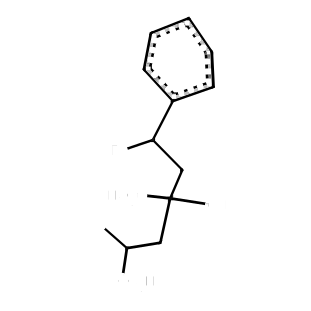 CCC(CC(C)(CC(C)C(=O)O)C(=O)O)c1ccccc1